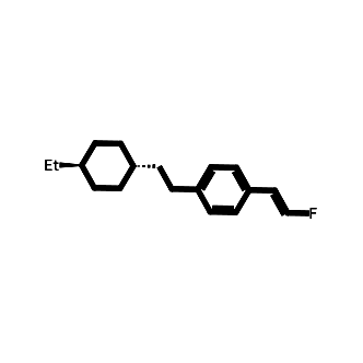 CC[C@H]1CC[C@H](CCc2ccc(C=CF)cc2)CC1